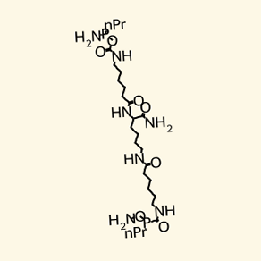 CCCP(N)OC(=O)NCCCCCC(=O)NC(CCCCNC(=O)CCCCCNC(=O)P(CCC)ON)C(N)=O